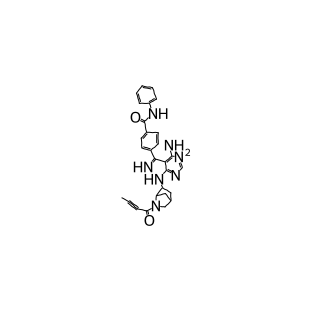 CC#CC(=O)N1CC2CC(Nc3ncnc(N)c3C(=N)c3ccc(C(=O)Nc4ccccc4)cc3)C1C2